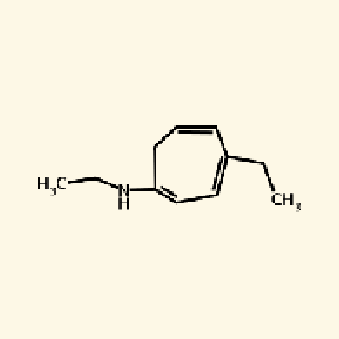 CCNC1=CC=C(CC)C=CC1